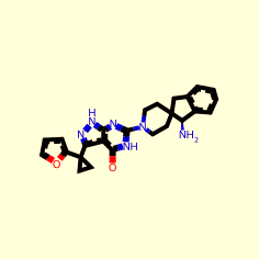 N[C@@H]1c2ccccc2CC12CCN(c1nc3[nH]nc(C4(c5ccco5)CC4)c3c(=O)[nH]1)CC2